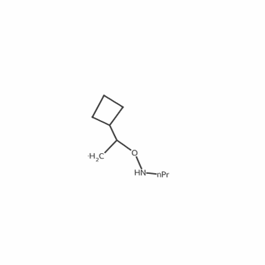 [CH2]C(ONCCC)C1CCC1